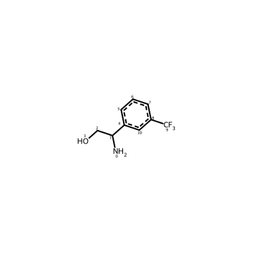 NC(CO)c1cccc(C(F)(F)F)c1